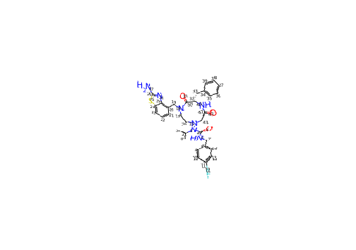 CC(C)N(C(=O)NCc1ccc(F)cc1)N1CCN(Cc2cccc3sc(N)nc23)C(=O)[C@H](Cc2ccccc2)NC(=O)C1